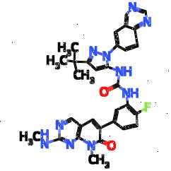 CNc1ncc2cc(-c3ccc(F)c(NC(=O)Nc4cc(C(C)(C)C)nn4-c4ccc5ncncc5c4)c3)c(=O)n(C)c2n1